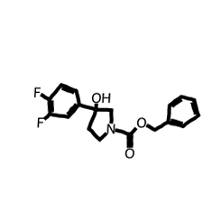 O=C(OCc1ccccc1)N1CCC(O)(c2ccc(F)c(F)c2)C1